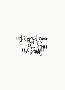 CCCCN/C=C1/C=C(Nc2nc(=O)n(Cc3ccc[nH]c3=O)c(=O)n2Cc2cc(C)c(F)c(P)c2)C(OC)=CC1=N